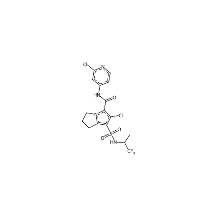 CC(NS(=O)(=O)c1c(Cl)c(C(=O)Nc2ccnc(Cl)c2)n2c1CCC2)C(F)(F)F